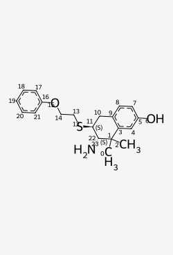 CC1(C)c2cc(O)ccc2C[C@H](SCCOc2ccccc2)[C@H]1N